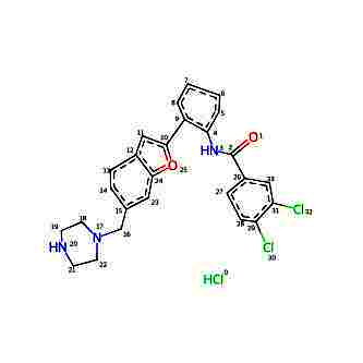 Cl.O=C(Nc1ccccc1-c1cc2ccc(CN3CCNCC3)cc2o1)c1ccc(Cl)c(Cl)c1